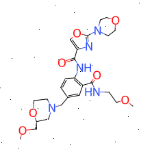 COCCNC(=O)c1cc(CN2CCO[C@H](COC)C2)ccc1NC(=O)c1coc(N2CCOCC2)n1